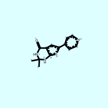 CC1(C)NC(=O)c2cc(-c3ccncc3)sc2N1